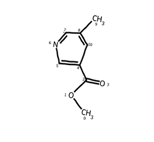 COC(=O)c1cn[c]c(C)c1